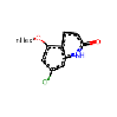 CCCCCCOc1cc(Cl)cc2[nH]c(=O)ccc12